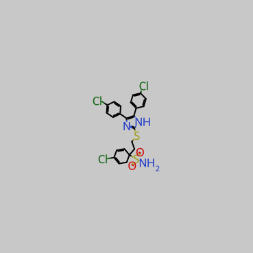 NS(=O)(=O)C1(CCSc2nc(-c3ccc(Cl)cc3)c(-c3ccc(Cl)cc3)[nH]2)C=CC(Cl)=CC1